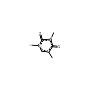 Cc1cn(F)c(=O)n(C)c1=O